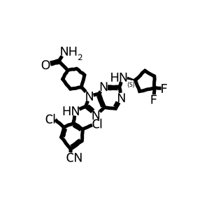 N#Cc1cc(Cl)c(Nc2nc3cnc(N[C@H]4CCC(F)(F)C4)nc3n2C2CCC(C(N)=O)CC2)c(Cl)c1